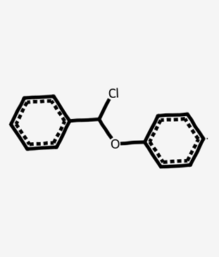 ClC(Oc1cc[c]cc1)c1ccccc1